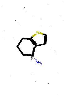 N[C@@H]1CCCc2sccc21